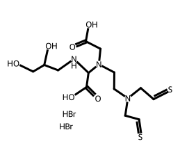 Br.Br.O=C(O)CN(CCN(CC=S)CC=S)C(NCC(O)CO)C(=O)O